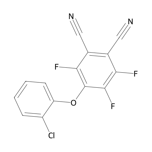 N#Cc1c(F)c(F)c(Oc2ccccc2Cl)c(F)c1C#N